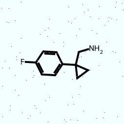 NCC1(c2ccc(F)cc2)CC1